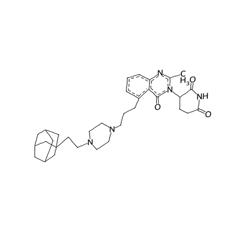 Cc1nc2cccc(CCCN3CCN(CCC45CC6CC(CC(C6)C4)C5)CC3)c2c(=O)n1C1CCC(=O)NC1=O